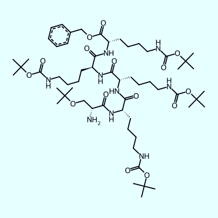 CC(C)(C)OC[C@@H](N)C(=O)N[C@@H](CCCCNC(=O)OC(C)(C)C)C(=O)N[C@@H](CCCCNC(=O)OC(C)(C)C)C(=O)N[C@@H](CCCCNC(=O)OC(C)(C)C)C(=O)N[C@@H](CCCCNC(=O)OC(C)(C)C)C(=O)OCc1ccccc1